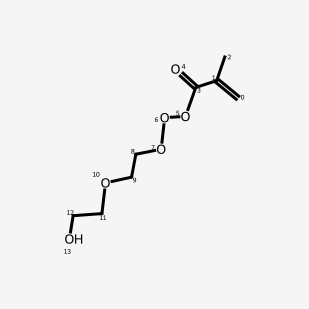 C=C(C)C(=O)OOOCCOCCO